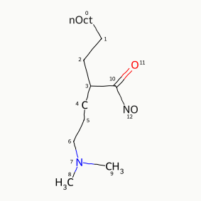 CCCCCCCCCCC(CCCN(C)C)C(=O)N=O